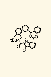 Cc1ccccc1CN(C(=O)n1c(=O)c2cccc(C(=O)OC(c3ccccc3)c3ccccc3)c2n1C)C(C)(C)C